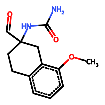 COc1cccc2c1CC(C=O)(NC(N)=O)CC2